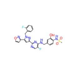 CS(=O)(=O)Nc1ccc(CNc2nc(-c3cc(-c4ccon4)n(Cc4ccccc4F)n3)ncc2F)cc1O